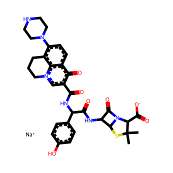 CC1(C)SC2C(NC(=O)C(NC(=O)c3cn4c5c(c(N6CCNCC6)ccc5c3=O)CCC4)c3ccc(O)cc3)C(=O)N2C1C(=O)[O-].[Na+]